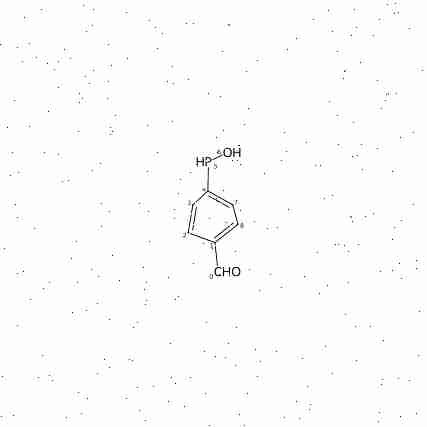 O=Cc1ccc(PO)cc1